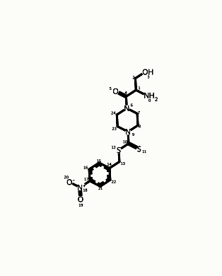 NC(CO)C(=O)N1CCN(C(=S)SCc2ccc([N+](=O)[O-])cc2)CC1